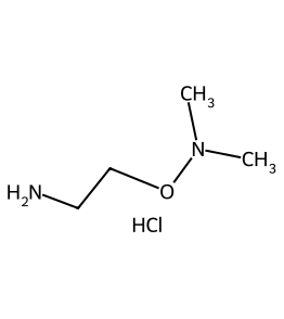 CN(C)OCCN.Cl